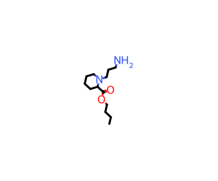 CCCCOC(=O)C1CCCCN1CCCN